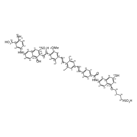 COc1cc(N=Nc2c(C)cc(N=Nc3ccc(C(=O)Nc4ccc5c(OCCCCS(=O)(=O)O)cc(S)cc5c4)cc3)cc2C)c(C)cc1N=Nc1c(S(=O)(=O)O)cc2cc(Nc3ccc(N)c(S(=O)(=O)O)c3)ccc2c1O